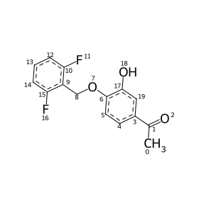 CC(=O)c1ccc(OCc2c(F)cccc2F)c(O)c1